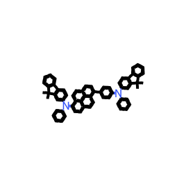 CC1(C)c2ccccc2-c2ccc(N(c3ccccc3)c3ccc(-c4ccc5ccc6c(N(c7ccccc7)c7ccc8c(c7)C(C)(C)c7ccccc7-8)ccc7ccc4c5c76)cc3)cc21